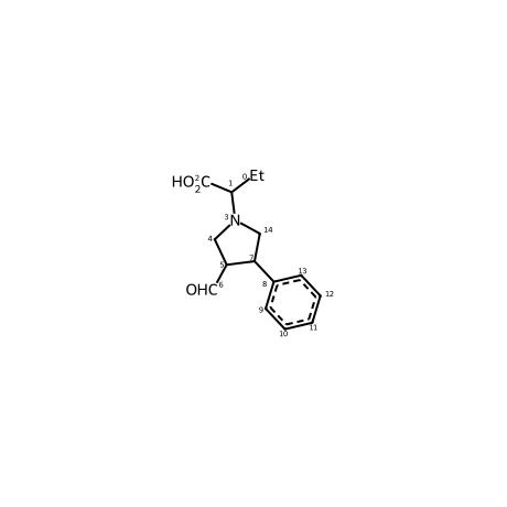 CCC(C(=O)O)N1CC(C=O)C(c2ccccc2)C1